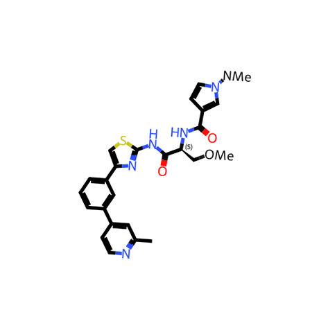 CNn1ccc(C(=O)N[C@@H](COC)C(=O)Nc2nc(-c3cccc(-c4ccnc(C)c4)c3)cs2)c1